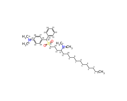 CCCCCCCCCCCCC(CCCS(=O)(=O)C(c1ccccc1)c1ccc(N(C)C)cc1)N(C)C